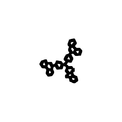 c1ccc2c(c1)cc(-c1ccc(N(c3ccc(-c4cc5ccccc5c5ccccc45)cc3)c3cnc4c(c3)oc3ccccc34)cc1)c1ccccc12